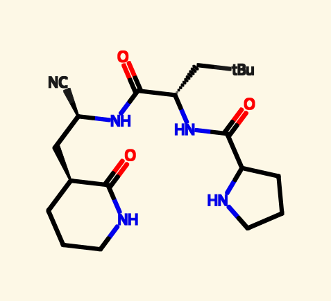 CC(C)(C)C[C@H](NC(=O)C1CCCN1)C(=O)N[C@H](C#N)C[C@@H]1CCCNC1=O